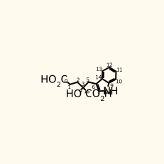 O=C(O)CCC(O)(Cc1c[nH]c2ccccc12)C(=O)O